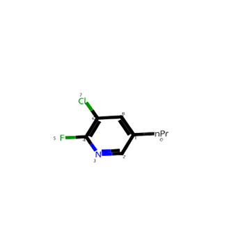 CCCc1cnc(F)c(Cl)c1